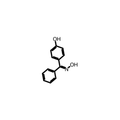 O/N=C(/c1ccccc1)c1ccc(O)cc1